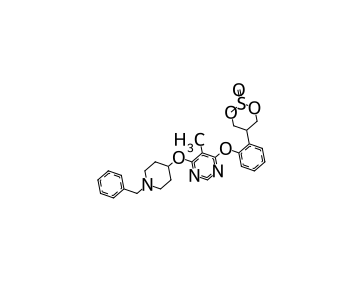 Cc1c(Oc2ccccc2C2COS(=O)OC2)ncnc1OC1CCN(Cc2ccccc2)CC1